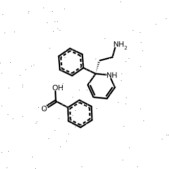 NCC[C@@]1(c2ccccc2)C=CC=CN1.O=C(O)c1ccccc1